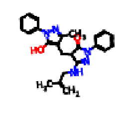 C=C(C)CNC1=NN(c2ccccc2)C(=O)C1Cc1c(C)nn(-c2ccccc2)c1O